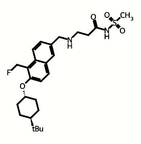 CC(C)(C)[C@H]1CC[C@H](Oc2ccc3cc(CNCCC(=O)NS(C)(=O)=O)ccc3c2CF)CC1